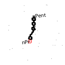 CCCCCc1ccc(C2C=CC(C3CCC(/C=C/CCC4CCC(OCCC)CC4)CC3)CC2)cc1